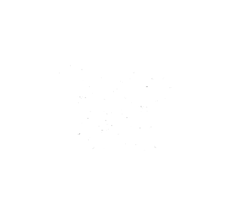 CCc1ccc2c(c1-c1ccccc1OC)C=C(c1occ3ccccc13)[CH]2[Zr]([Cl])([Cl])([CH]1C(c2occ3ccccc23)=Cc2c1ccc(CC)c2-c1ccccc1OC)=[Si](C)C